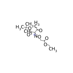 CCOC(=O)CO/N=C(\C(C)=O)C(=O)OC(C)(C)C